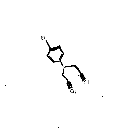 C#CCN(CC#C)c1ccc(CC)cc1